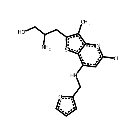 Cc1c(CC(N)CO)sc2c(NCc3ccco3)cc(Cl)nc12